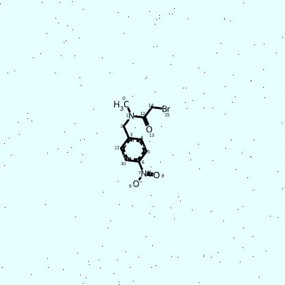 CN(Cc1ccc([N+](=O)[O-])cc1)C(=O)CBr